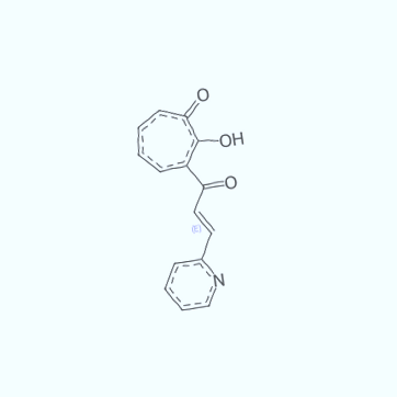 O=C(/C=C/c1ccccn1)c1ccccc(=O)c1O